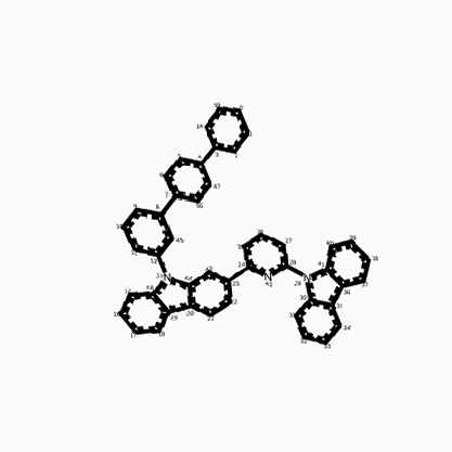 c1ccc(-c2ccc(-c3cccc(-n4c5ccccc5c5ccc(-c6cccc(-n7c8ccccc8c8ccccc87)n6)cc54)c3)cc2)cc1